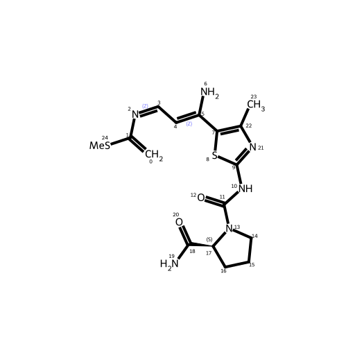 C=C(/N=C\C=C(/N)c1sc(NC(=O)N2CCC[C@H]2C(N)=O)nc1C)SC